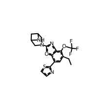 CCc1cc(-c2nccs2)c2oc(N3CC4CC(C3)N4)nc2c1OC(F)(F)F